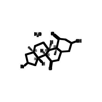 C[C@]12CC[C@@H]3[C@@H](C(=O)CC4CC(O)CC(=O)[C@@]43C)[C@@H]1CC(Br)C2.O